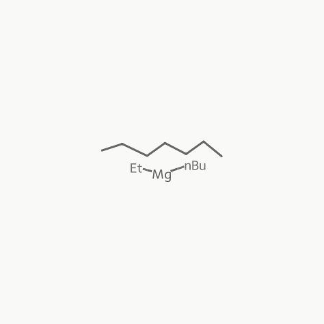 CCCCCCC.CCC[CH2][Mg][CH2]C